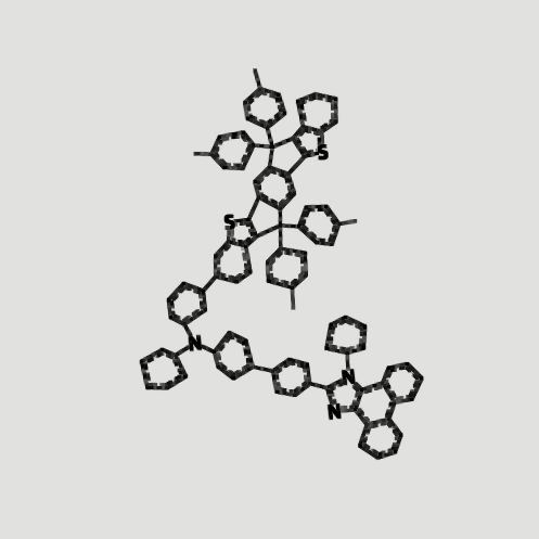 Cc1ccc(C2(c3ccc(C)cc3)c3cc4c(cc3-c3sc5ccccc5c32)C(c2ccc(C)cc2)(c2ccc(C)cc2)c2c-4sc3cc(-c4cccc(N(c5ccccc5)c5ccc(-c6ccc(-c7nc8c9ccccc9c9ccccc9c8n7-c7ccccc7)cc6)cc5)c4)ccc23)cc1